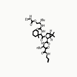 C=CCNC(=O)C(=O)C(CCCC)NC(=O)[C@@H]1[C@@H]2[C@H](CN1C(=O)[C@@H](NC(=O)N[C@H](COC(=O)NCC)C(C)(C)C)C1(C)CCCCC1)C2(C)C